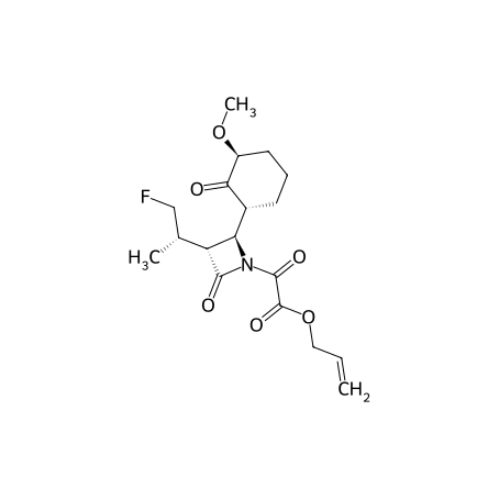 C=CCOC(=O)C(=O)N1C(=O)[C@H]([C@H](C)CF)[C@H]1[C@H]1CCC[C@H](OC)C1=O